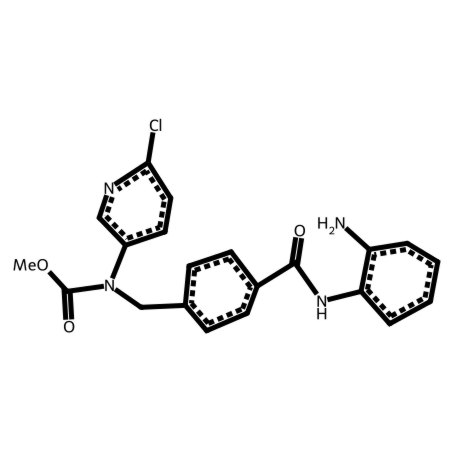 COC(=O)N(Cc1ccc(C(=O)Nc2ccccc2N)cc1)c1ccc(Cl)nc1